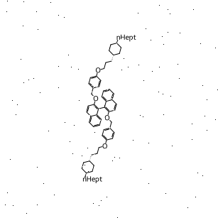 CCCCCCC[C@H]1CC[C@H](CCCOc2ccc(COc3ccc4ccccc4c3-c3c(OCc4ccc(OCCC[C@H]5CC[C@H](CCCCCCC)CC5)cc4)ccc4ccccc34)cc2)CC1